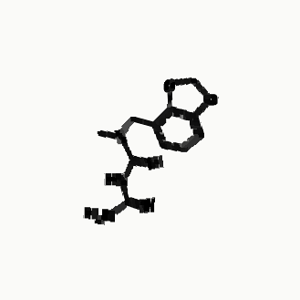 CN(Cc1cccc2c1OCO2)C(=N)NC(=N)N